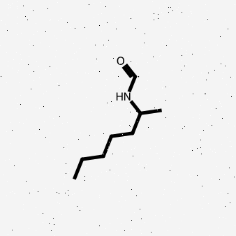 CCCCCC(C)N[C]=O